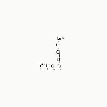 [Cl-].[Cl-].[Cl-].[Cl-].[Cl-].[Cl-].[Lu+3].[Y+3]